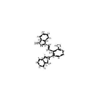 Clc1cccc(-n2cc3ccccc3c2)c1C=Cc1n[nH]c2ccccc12